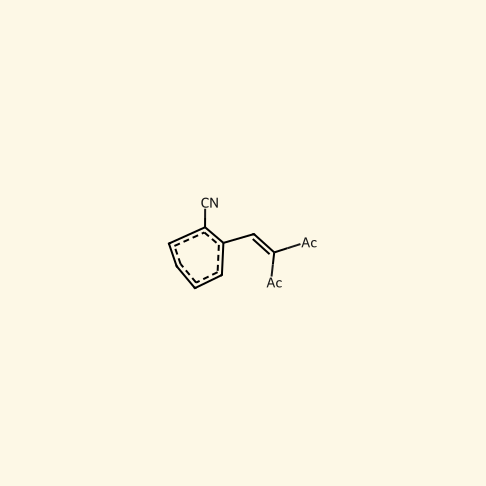 CC(=O)C(=Cc1ccccc1C#N)C(C)=O